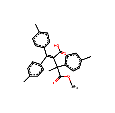 Cc1ccc(C(=C(C(=O)O)C(C)(C(=O)O[SiH3])c2ccc(C)cc2)c2ccc(C)cc2)cc1